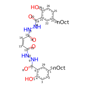 CCCCCCCCc1ccc(O)c(C(=O)NNC(=O)/C=C\C(=O)NNC(=O)c2cc(CCCCCCCC)ccc2O)c1